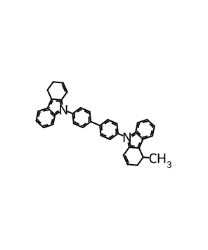 CC1CC=Cc2c1c1ccccc1n2-c1ccc(-c2ccc(-n3c4c(c5ccccc53)CCC=C4)cc2)cc1